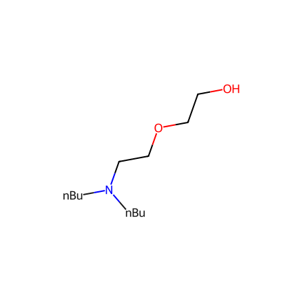 CCCCN(CCCC)CCOCCO